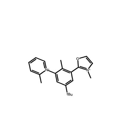 Cc1c(-c2occ[n+]2C)cc(C(C)(C)C)cc1-[n+]1ccccc1C